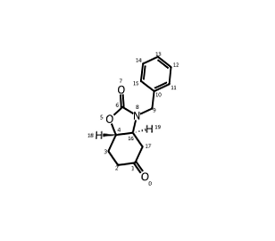 O=C1CC[C@@H]2OC(=O)N(Cc3ccccc3)[C@H]2C1